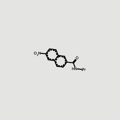 CC(C)NC(=O)c1ccc2cc([N+](=O)[O-])ccc2c1